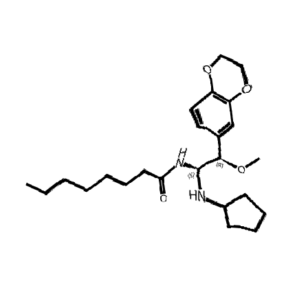 CCCCCCCC(=O)N[C@H](NC1CCCC1)[C@H](OC)c1ccc2c(c1)OCCO2